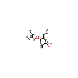 C/C=C/c1cc(OC)c(C)cc1OCC(CC)CC